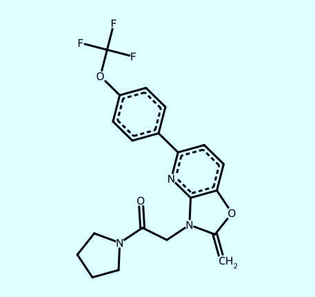 C=C1Oc2ccc(-c3ccc(OC(F)(F)F)cc3)nc2N1CC(=O)N1CCCC1